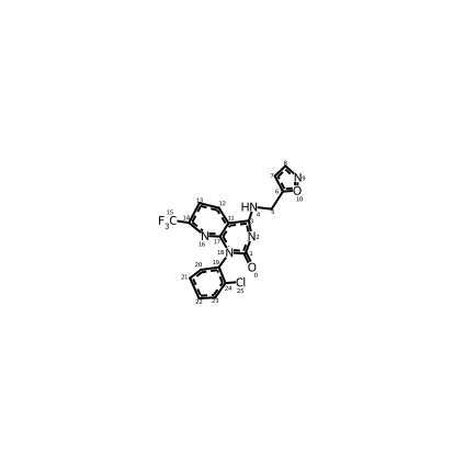 O=c1nc(NCc2ccno2)c2ccc(C(F)(F)F)nc2n1-c1ccccc1Cl